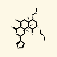 COCO[C@H]1C[C@@H](COC)[C@@H]2CC(O)=C3C(=O)O[C@H](c4ccoc4)C[C@@H]3[C@H]2C1=O